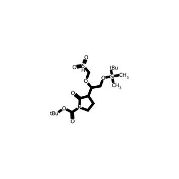 CC(C)(C)OC(=O)N1CCC(C(CO[Si](C)(C)C(C)(C)C)OC[SH](=O)=O)C1=O